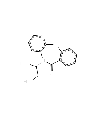 CCC(C)N1C(=O)c2ccccc2Oc2ncccc21